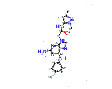 Cc1cc(NC(=O)Cn2cnc3c(Nc4ccc(F)cc4)nc(N)nc32)n(C)n1